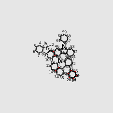 CC1(C)c2ccccc2-c2cc(-c3ccccc3N(c3cccc(-c4ccccc4)c3-c3ccccc3-c3ccccc3)c3cccc4c3c3ccccc3n4-c3ccccc3)ccc21